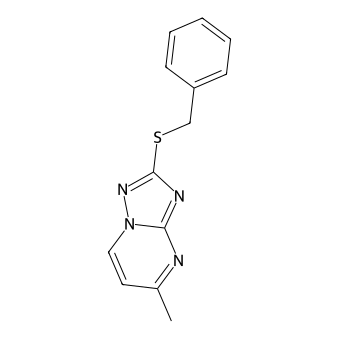 Cc1ccn2nc(SCc3ccccc3)nc2n1